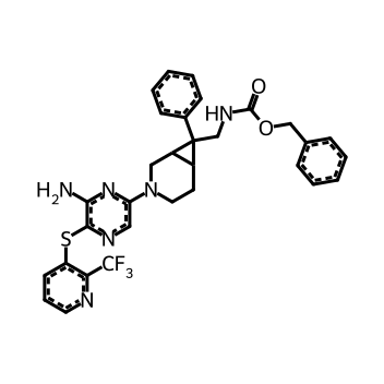 Nc1nc(N2CCC3C(C2)C3(CNC(=O)OCc2ccccc2)c2ccccc2)cnc1Sc1cccnc1C(F)(F)F